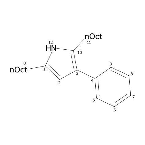 CCCCCCCCc1cc(-c2ccccc2)c(CCCCCCCC)[nH]1